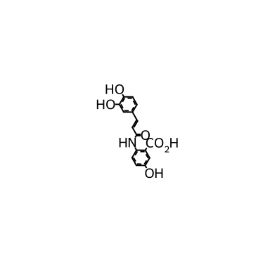 O=C(C=Cc1ccc(O)c(O)c1)Nc1ccc(O)cc1C(=O)O